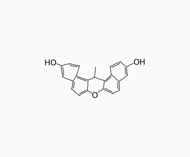 CC1c2c(ccc3cc(O)ccc23)Oc2ccc3cc(O)ccc3c21